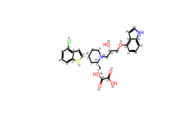 C[C@H]1C[C@H](c2cc3c(Cl)cccc3s2)CCN1C[C@H](O)COc1cccc2[nH]ccc12.O=C(O)C(=O)O